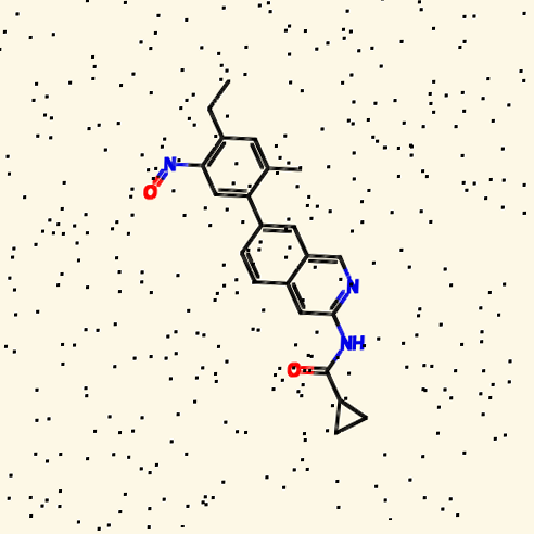 CCc1cc(C)c(-c2ccc3cc(NC(=O)C4CC4)ncc3c2)cc1N=O